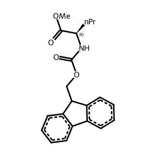 CCC[C@@H](NC(=O)OCC1c2ccccc2-c2ccccc21)C(=O)OC